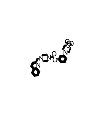 O=C(Oc1cccc(N2CCS(=O)(=O)CC2)c1)N1CCN(Cc2ccc3ccccc3n2)CC1